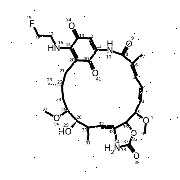 COC1/C=C\C=C(/C)C(=O)NC2=CC(=O)C(NCCF)=C(C[C@@H](C)CC(OC)[C@H](O)C(C)/C=C(\C)C1OC(N)=O)C2=O